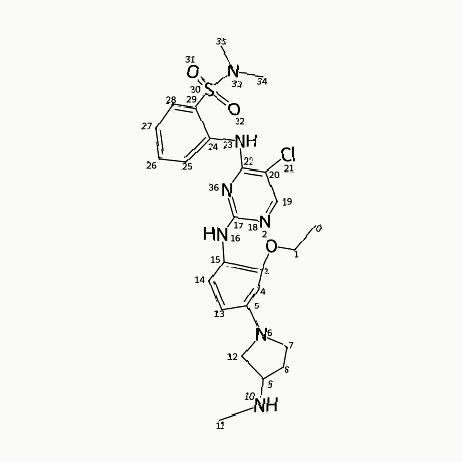 CCOc1cc(N2CCC(NC)C2)ccc1Nc1ncc(Cl)c(Nc2ccccc2S(=O)(=O)N(C)C)n1